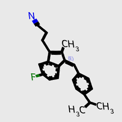 CC1=C(CCC#N)c2cc(F)ccc2/C1=C\c1ccc(C(C)C)cc1